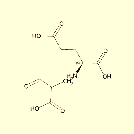 CC(C=O)C(=O)O.N[C@@H](CCC(=O)O)C(=O)O